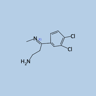 C/N=C(\CCN)c1ccc(Cl)c(Cl)c1